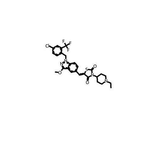 CCN1CCC(N2C(=O)S/C(=C\c3ccc4c(c3)c(OC)nn4Cc3ccc(Cl)cc3C(F)(F)F)C2=O)CC1